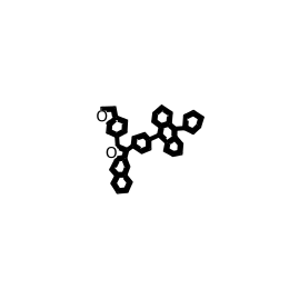 c1ccc(-c2c3ccccc3c(-c3ccc(-c4c(-c5ccc6ccoc6c5)oc5cc6ccccc6cc45)cc3)c3ccccc23)cc1